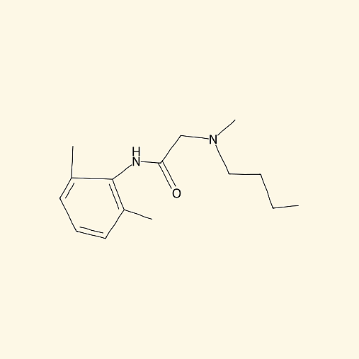 CCCCN(C)CC(=O)Nc1c(C)cccc1C